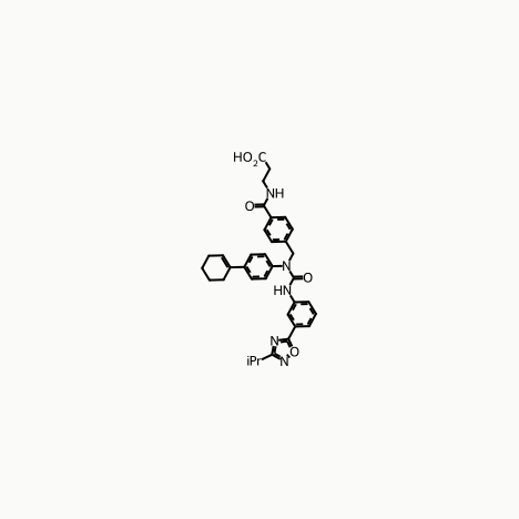 CC(C)c1noc(-c2cccc(NC(=O)N(Cc3ccc(C(=O)NCCC(=O)O)cc3)c3ccc(C4=CCCCC4)cc3)c2)n1